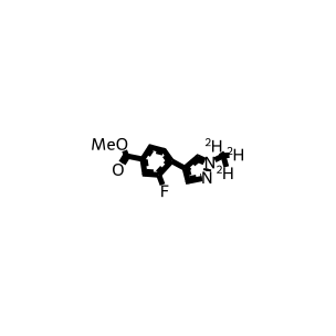 [2H]C([2H])([2H])n1cc(-c2ccc(C(=O)OC)cc2F)cn1